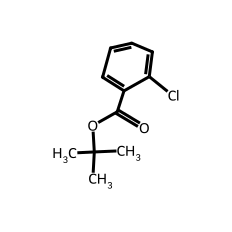 CC(C)(C)OC(=O)c1ccccc1Cl